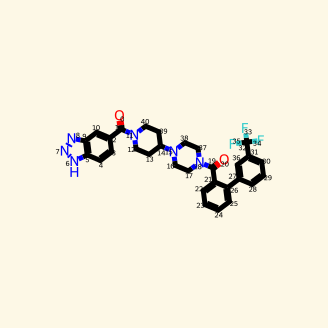 O=C(c1ccc2[nH]nnc2c1)N1CCC(N2CCN(C(=O)c3ccccc3-c3cccc(C(F)(F)F)c3)CC2)CC1